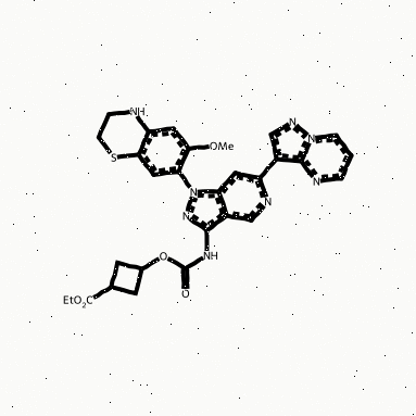 CCOC(=O)C1CC(OC(=O)Nc2nn(-c3cc4c(cc3OC)NCCS4)c3cc(-c4cnn5cccnc45)ncc23)C1